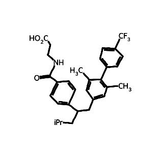 Cc1cc(CC(CC(C)C)c2ccc(C(=O)NCCC(=O)O)cc2)cc(C)c1-c1ccc(C(F)(F)F)cc1